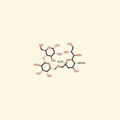 CC(=O)N[C@H]1[C@H]([C@H](O)[C@H](O)CO)O[C@@](COC[C@H]2O[C@@H](O[C@H]3[C@H](O)[C@@H](O)[C@@H](O)O[C@@H]3CO)[C@H](O)[C@@H](O)[C@H]2O)(OC(C)=O)C[C@@H]1O